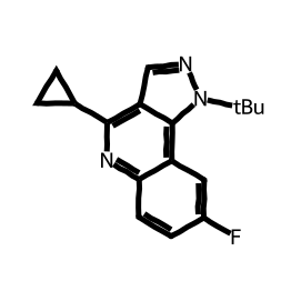 CC(C)(C)n1ncc2c(C3CC3)nc3ccc(F)cc3c21